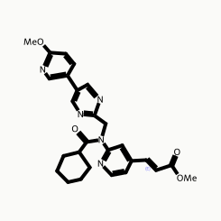 COC(=O)/C=C/c1ccnc(N(Cc2ncc(-c3ccc(OC)nc3)cn2)C(=O)C2CCCCC2)c1